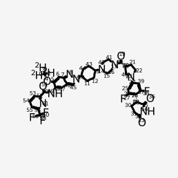 [2H]C([2H])([2H])Oc1cc2nn(C3CCC(N4CCN(C(=O)[C@@H]5CCN(c6cc(F)c([C@H]7CCC(=O)NC7=O)c(F)c6)C5)CC4)CC3)cc2cc1NC(=O)c1cccc(C(F)(F)F)n1